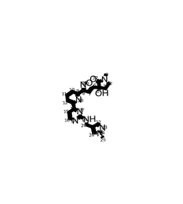 CN1CCC(O)(c2cc(-c3cccc(-c4ccnc(NCc5cnn(C)c5)n4)n3)no2)C1=O